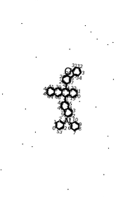 c1ccc(N(c2ccccc2)c2ccc3cc(-c4c5ccccc5c(-c5ccc6oc7ccccc7c6c5)c5cc6ccccc6cc45)ccc3c2)cc1